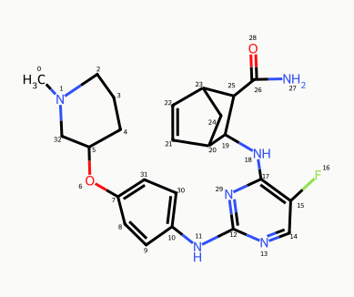 CN1CCCC(Oc2ccc(Nc3ncc(F)c(NC4C5C=CC(C5)C4C(N)=O)n3)cc2)C1